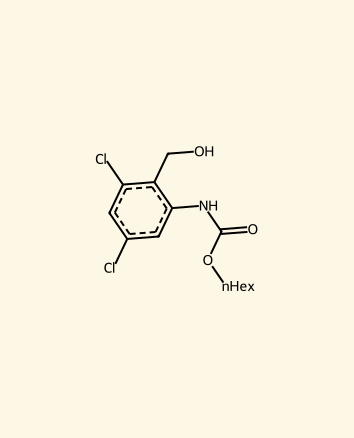 CCCCCCOC(=O)Nc1cc(Cl)cc(Cl)c1CO